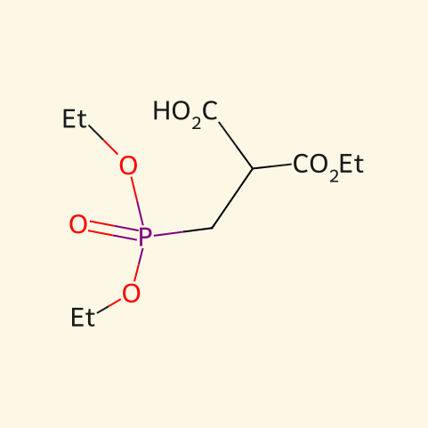 CCOC(=O)C(CP(=O)(OCC)OCC)C(=O)O